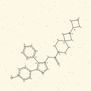 O=C(Cn1cnc(-c2ccc(Cl)cc2)c1-c1ccncc1)N1CCC2(CC1)CN(C1COC1)C2